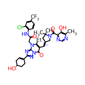 CCc1c(/C=C2/CN(C(=O)c3ncnc(C)c3O)C(C)(C)C2)c(=O)n2nc(C3=CCC(O)CC3)nc2n1CC(=O)Nc1ccc(C(F)(F)F)cc1Cl